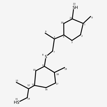 CC1CCC(C(C)CSC2CC(C(C)CS)CCC2C)CC1S